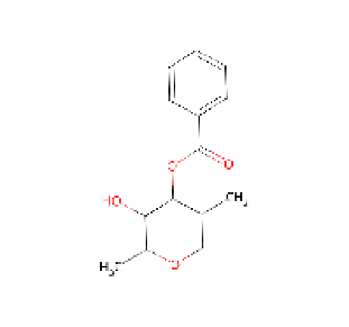 CC1COC(C)C(O)C1OC(=O)c1ccccc1